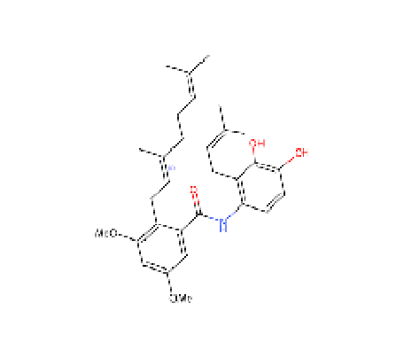 COc1cc(OC)c(C/C=C(\C)CCC=C(C)C)c(C(=O)Nc2ccc(O)c(O)c2CC=C(C)C)c1